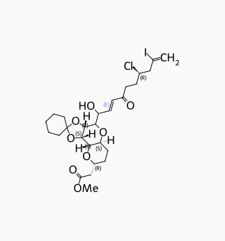 C=C(I)C[C@H](Cl)CCC(=O)/C=C/C(O)C1O[C@H]2CC[C@H](CC(=O)OC)O[C@@H]2[C@@H]2OC3(CCCCC3)O[C@H]12